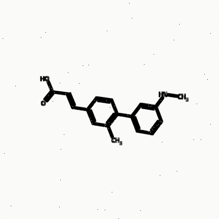 CNc1cccc(-c2ccc(C=CC(=O)O)cc2C)c1